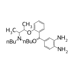 CCCCN(CCCC)C(C)C(C)Oc1ccccc1C(=O)c1ccc(N)c(N)c1